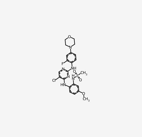 COc1ccc(Nc2nc(Nc3ccc(N4CCOCC4)cc3F)ncc2Cl)c(NS(C)(=O)=O)c1